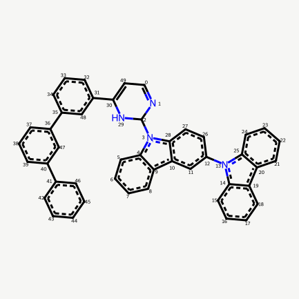 C1=NC(n2c3ccccc3c3cc(-n4c5ccccc5c5ccccc54)ccc32)NC(c2cccc(-c3cccc(-c4ccccc4)c3)c2)=C1